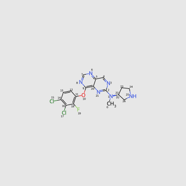 CN(c1ncc2ncnc(Oc3ccc(Cl)c(Cl)c3F)c2n1)[C@H]1CCNC1